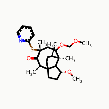 COCOC1C[C@@](C)(Sc2ccccn2)C(=O)[C@H](C)C23CC[C@@H](C)[C@]1(C)C2[C@H](OC)CC3